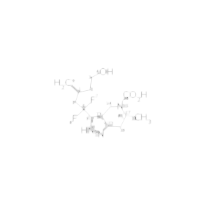 C=C(CCO)CC(F)(F)c1[nH]nc2c1CN(C(=O)O)[C@H](C)C2